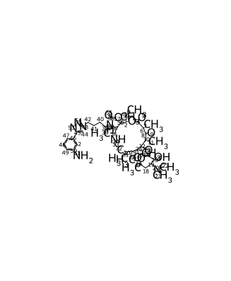 CC[C@H]1OC(=O)[C@H](C)C(=O)[C@H](C)[C@@H](O[C@@H]2OC(C)CC(N(C)C)C2O)[C@](C)(OC)C[C@H](C)CCN[C@@H](C)[C@H]2N(CCCCn3cc(-c4cccc(N)c4)nn3)C(=O)O[C@]12C